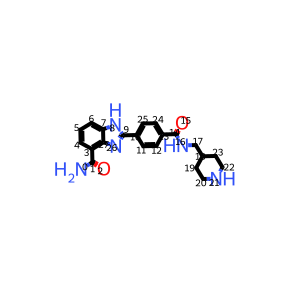 NC(=O)c1cccc2[nH]c(-c3ccc(C(=O)NCC4CCNCC4)cc3)nc12